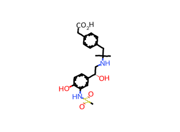 CC(C)(Cc1ccc(CC(=O)O)cc1)NC[C@H](O)c1ccc(O)c(NS(C)(=O)=O)c1